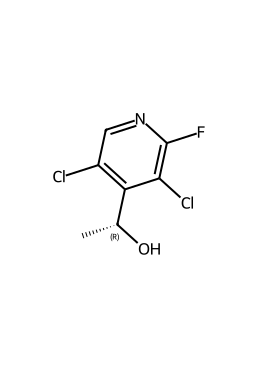 C[C@@H](O)c1c(Cl)cnc(F)c1Cl